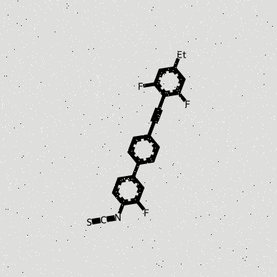 CCc1cc(F)c(C#Cc2ccc(-c3ccc(N=C=S)c(F)c3)cc2)c(F)c1